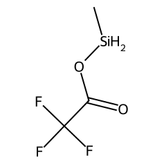 C[SiH2]OC(=O)C(F)(F)F